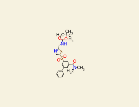 CN(C)C(=O)c1cc(-c2ccccc2)cc(S(=O)(=O)c2cnc(CNC(=O)OC(C)(C)C)s2)c1